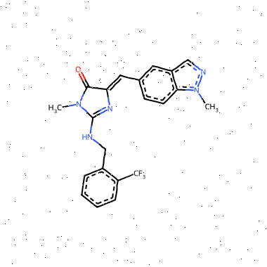 CN1C(=O)/C(=C/c2ccc3c(cnn3C)c2)N=C1NCc1ccccc1C(F)(F)F